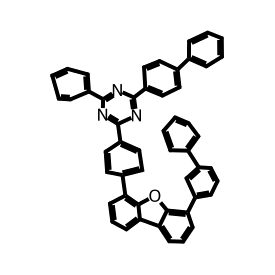 c1ccc(-c2ccc(-c3nc(-c4ccccc4)nc(-c4ccc(-c5cccc6c5oc5c(-c7cccc(-c8ccccc8)c7)cccc56)cc4)n3)cc2)cc1